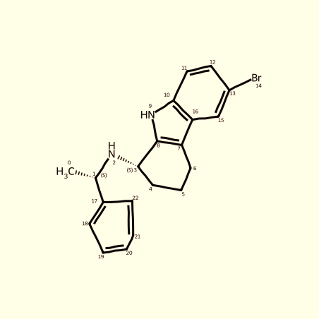 C[C@H](N[C@H]1CCCc2c1[nH]c1ccc(Br)cc21)c1ccccc1